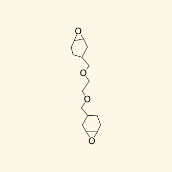 C(COCC1CCC2OC2C1)OCC1CCC2OC2C1